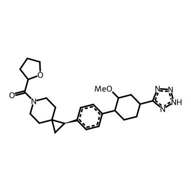 COC1CC(c2nn[nH]n2)CCC1c1ccc([C@H]2CC23CCN(C(=O)C2CCCO2)CC3)cc1